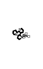 O.[Cl][Ru]([Cl])[Cl].c1ccc(-c2cccnc2-c2ccccn2)nc1